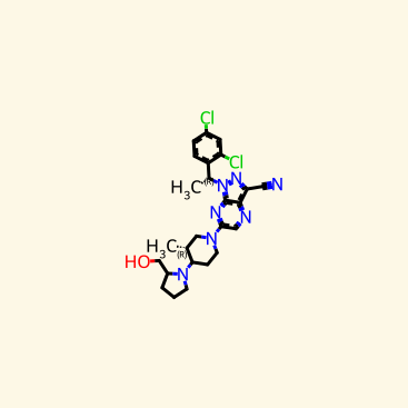 C[C@@H]1CN(c2cnc3c(C#N)nn([C@H](C)c4ccc(Cl)cc4Cl)c3n2)CCC1N1CCCC1CO